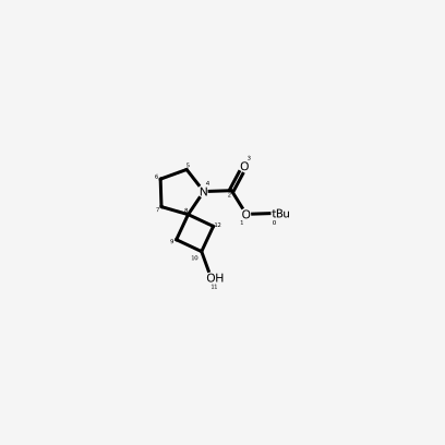 CC(C)(C)OC(=O)N1CCCC12CC(O)C2